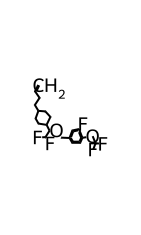 C=CCCC1CCC(C(OCc2ccc(OC(F)F)c(F)c2)C(F)F)CC1